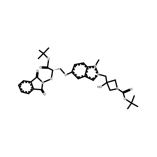 C[n+]1c2ccc(OC[C@H](ON3C(=O)c4ccccc4C3=O)C(=O)OC(C)(C)C)cc2cn1CC1(O)CN(C(=O)OC(C)(C)C)C1